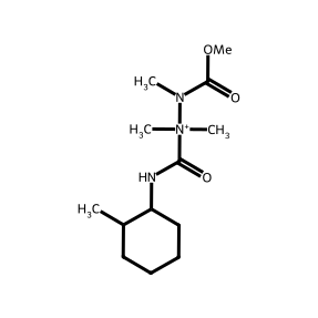 COC(=O)N(C)[N+](C)(C)C(=O)NC1CCCCC1C